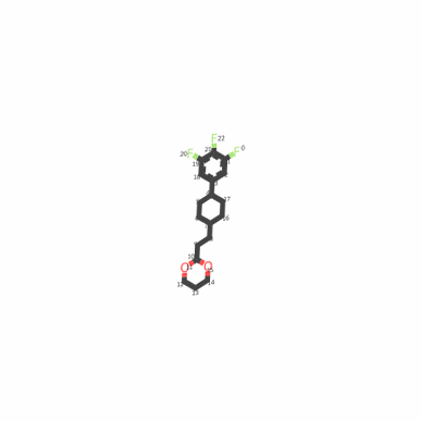 Fc1cc(C2CCC(CCC3OCCCO3)CC2)cc(F)c1F